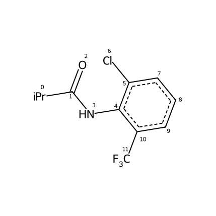 CC(C)C(=O)Nc1c(Cl)cccc1C(F)(F)F